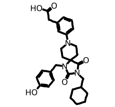 O=C(O)Cc1cccc(N2CCC3(CC2)C(=O)N(CC2CCCCC2)C(=O)N3Cc2ccc(O)cc2)c1